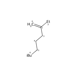 C=C(CC)CC[CH]C(C)CC